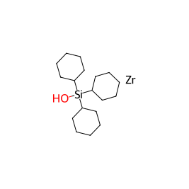 O[Si](C1CCCCC1)(C1CCCCC1)C1CCCCC1.[Zr]